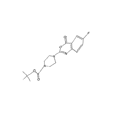 CC(C)(C)OC(=O)N1CCN(c2nc3ccc(F)cc3c(=O)o2)CC1